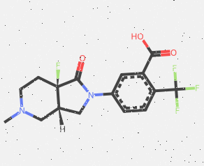 CN1CC[C@]2(F)C(=O)N(c3ccc(C(F)(F)F)c(C(=O)O)c3)C[C@@H]2C1